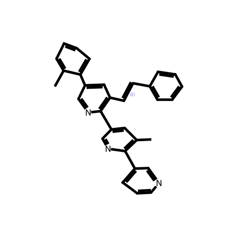 Cc1ccccc1-c1cnc(-c2cnc(-c3cccnc3)c(C)c2)c(/C=C/c2ccccc2)c1